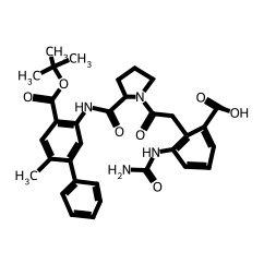 Cc1cc(C(=O)OC(C)(C)C)c(NC(=O)C2CCCN2C(=O)Cc2c(NC(N)=O)cccc2C(=O)O)cc1-c1ccccc1